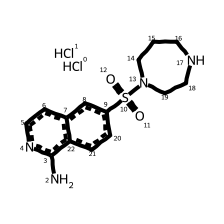 Cl.Cl.Nc1nccc2cc(S(=O)(=O)N3CCCNCC3)ccc12